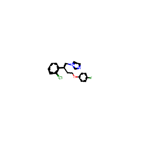 Fc1ccc(OCCC(Cn2ccnc2)c2ccccc2Cl)cc1